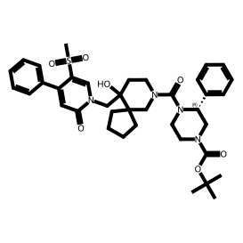 CC(C)(C)OC(=O)N1CCN(C(=O)N2CCC(O)(Cn3cc(S(C)(=O)=O)c(-c4ccccc4)cc3=O)C3(CCCC3)C2)[C@H](c2ccccc2)C1